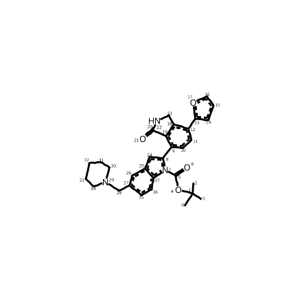 CC(C)(C)OC(=O)n1c(-c2ccc(-c3ccco3)c3c2C(=O)NC3)cc2cc(CN3CCCCC3)ccc21